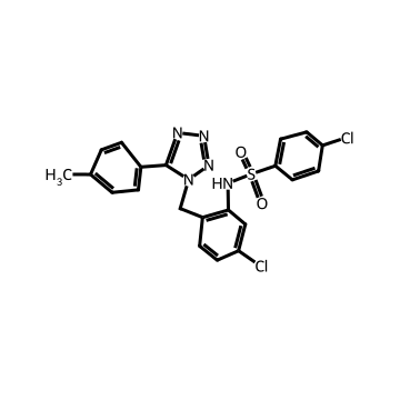 Cc1ccc(-c2nnnn2Cc2ccc(Cl)cc2NS(=O)(=O)c2ccc(Cl)cc2)cc1